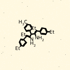 CCC(=C(N)C(C(N)=C(CC)c1ccc(CC)cc1)c1ccc(C)cc1)c1ccc(CC)cc1